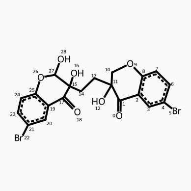 O=C1c2cc(Br)ccc2OCC1(O)CCC1(O)C(=O)c2cc(Br)ccc2OC1O